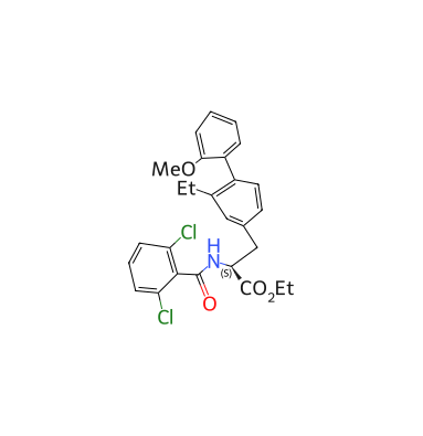 CCOC(=O)[C@H](Cc1ccc(-c2ccccc2OC)c(CC)c1)NC(=O)c1c(Cl)cccc1Cl